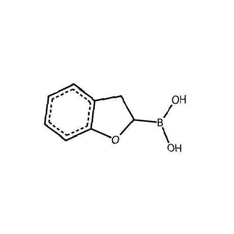 OB(O)C1Cc2ccccc2O1